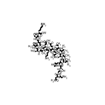 CC[C@H](C)[C@H](NC(=O)[C@@H](NC(=O)[C@H](CO)NC(=O)[C@H](C)NC(=O)[C@H](CCC(=O)O)NC(=O)[C@H](CCCCN)NC(=O)[C@H](CCC(N)=O)NC(=O)[C@H](CC(N)=O)NC(=O)[C@H](CC(C)C)NC(=O)[C@@H](NC(=O)[C@H](CO)NC(=O)[C@H](C)NC(=O)[C@H](CC(C)C)NC(=O)[C@H](Cc1c[nH]cn1)NC(=O)[C@H](CO)NC(=O)CNC(=O)[C@H](CC(N)=O)NC(=O)CN)C(C)C)C(C)C)C(=O)N[C@@H](CO)C(=O)N[C@@H](CCCCN)C(=O)O